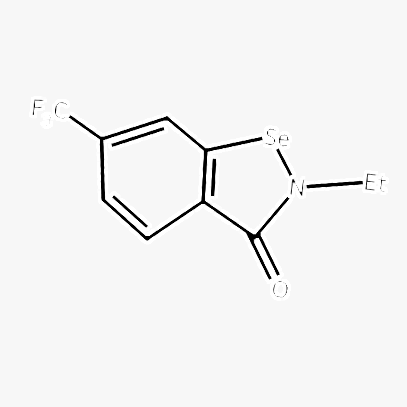 CCn1[se]c2cc(C(F)(F)F)ccc2c1=O